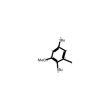 COc1cc(C(C)(C)C)cc(C)c1C(C)(C)C